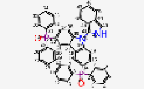 O=P(c1ccccc1)(c1ccccc1)c1ccc2c(c1)c1cc(P(=O)(c3ccccc3)c3ccccc3)ccc1n2-c1[nH]cc2ccccc12